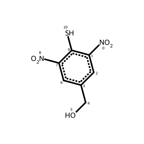 O=[N+]([O-])c1cc(CO)cc([N+](=O)[O-])c1S